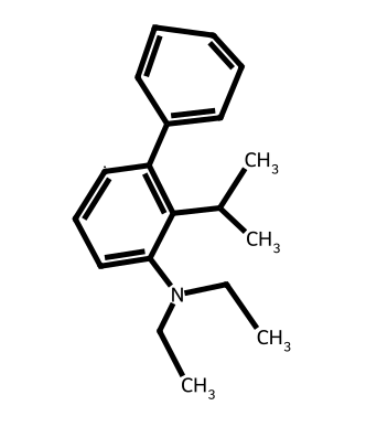 CCN(CC)c1cc[c]c(-c2ccccc2)c1C(C)C